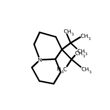 CC(C)(C)C1(C(C)(C)C)CCCN2CCCCC21